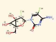 Nc1nc(=O)n([C@@H]2O[C@]3(CO)C(O)[C@]3(O)[C@@H]2F)cc1F